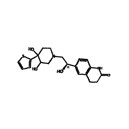 O=C1CCc2cc([C@@H](O)CN3CCC(O)(c4cccs4)C(O)C3)ccc2N1